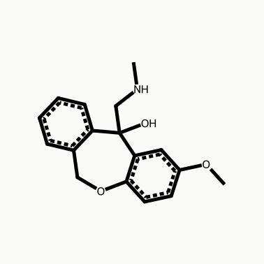 CNCC1(O)c2ccccc2COc2ccc(OC)cc21